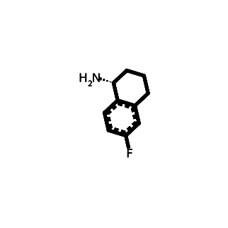 N[C@@H]1CCCc2cc(F)ccc21